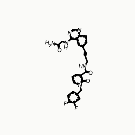 NC(=O)CNc1ncnc2ccc(C#CCNC(=O)c3cccn(Cc4ccc(F)c(F)c4)c3=O)cc12